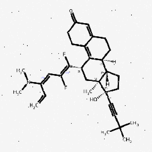 C=C/C(=C\C(F)=C(/F)[C@H]1C[C@@]2(C)[C@@H](CC[C@@]2(O)C#CC(C)(C)C)[C@@H]2CCC3=CC(=O)CCC3=C21)N(C)C